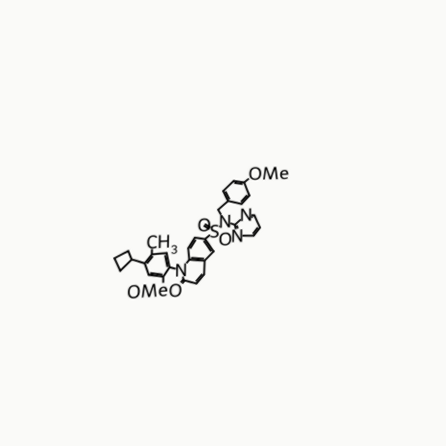 COc1ccc(CN(c2ncccn2)S(=O)(=O)c2ccc3c(ccc(=O)n3-c3cc(C)c(C4CCC4)cc3OC)c2)cc1